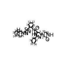 O=C1CN(c2cc(C(=O)Nc3ccccc3-c3nnc(N4CCN5CCC[C@H]5C4)s3)nc(-c3ccccc3)n2)CCN1